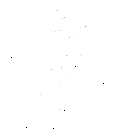 CCOP(=O)(CC1OC(C(O[SiH](c2ccccc2)c2ccccc2)C(C)(C)C)CS1)OCC